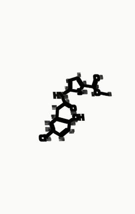 COC(=O)c1ccc(NC(=O)Cc2cc(Cl)ccc2O)s1